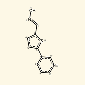 O/N=C/c1ccc(-c2cccnc2)s1